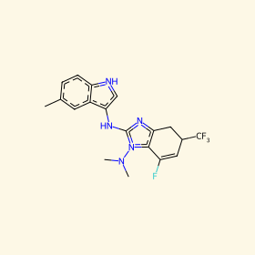 Cc1ccc2[nH]cc(Nc3nc4c(n3N(C)C)C(F)=CC(C(F)(F)F)C4)c2c1